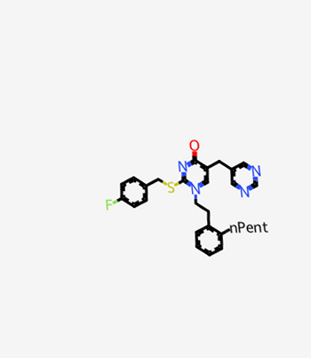 CCCCCc1ccccc1CCn1cc(Cc2cncnc2)c(=O)nc1SCc1ccc(F)cc1